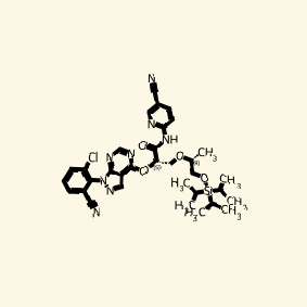 CC(C)[Si](OC[C@@H](C)OC[C@H](Oc1ncnc2c1cnn2-c1c(Cl)cccc1C#N)C(=O)Nc1ccc(C#N)cn1)(C(C)C)C(C)C